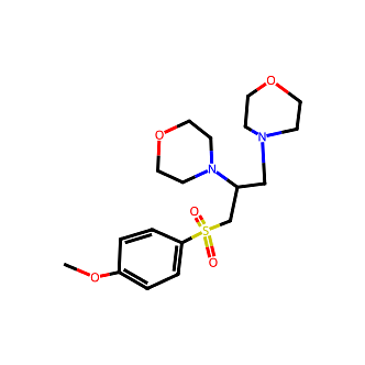 COc1ccc(S(=O)(=O)CC(CN2CCOCC2)N2CCOCC2)cc1